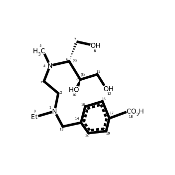 CCN(CCN(C)[C@H](CO)[C@H](O)CO)Cc1ccc(C(=O)O)cc1